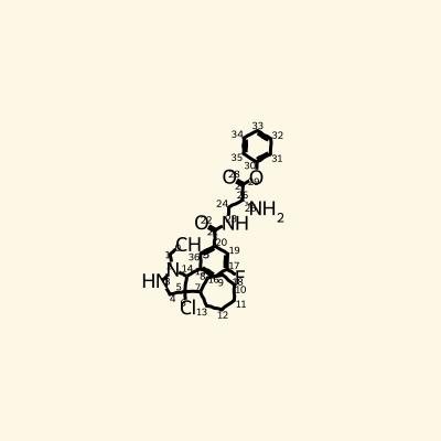 CCN1NCC(Cl)(C2CCCCCC2)C1c1cc(F)cc(C(=O)NC[C@@H](N)C(=O)Oc2ccccc2)c1